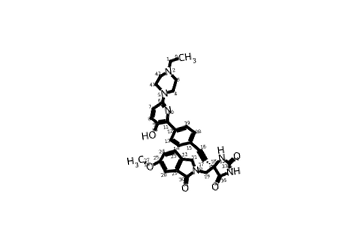 CCN1CCN(c2ccc(O)c(-c3ccc(C#C[C@]4(CN5Cc6ccc(OC)cc6C5=O)NC(=O)NC4=O)cc3)n2)CC1